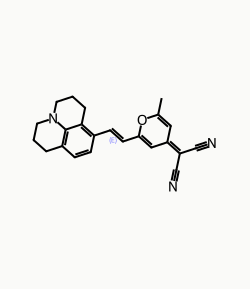 CC1=CC(=C(C#N)C#N)C=C(/C=C/c2ccc3c4c2CCCN4CCC3)O1